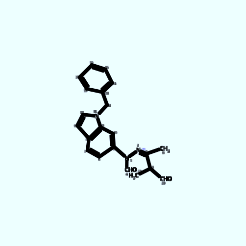 C/C(=N/N(C=O)c1ccc2ccn(Cc3ccccc3)c2c1)C(C)C=O